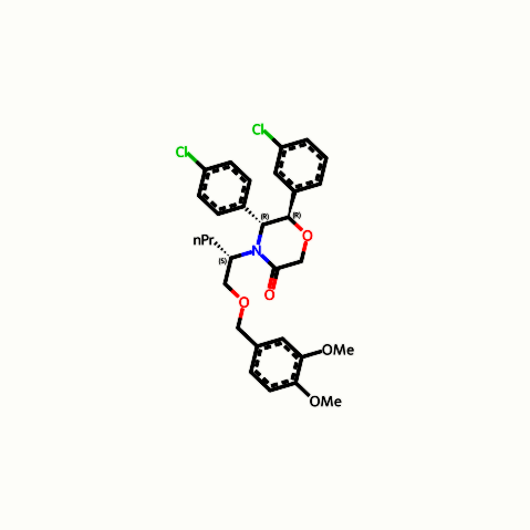 CCC[C@@H](COCc1ccc(OC)c(OC)c1)N1C(=O)CO[C@H](c2cccc(Cl)c2)[C@H]1c1ccc(Cl)cc1